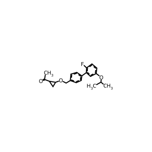 CC(=O)C1CC1OCc1ccc(-c2cc(OC(C)C)ccc2F)cc1